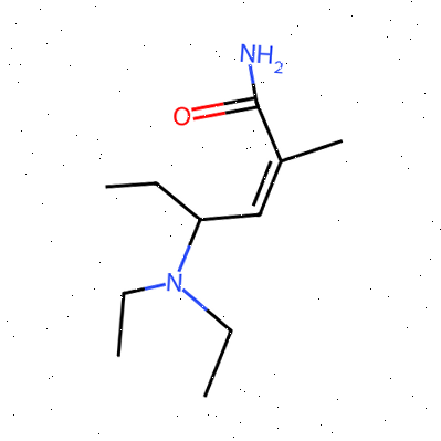 CCC(C=C(C)C(N)=O)N(CC)CC